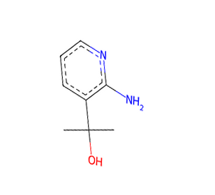 CC(C)(O)c1cccnc1N